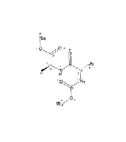 CC(C)[C@H](NC(=O)OC(C)(C)C)C(=O)N[C@@H](C)C(=O)OC(C)(C)C